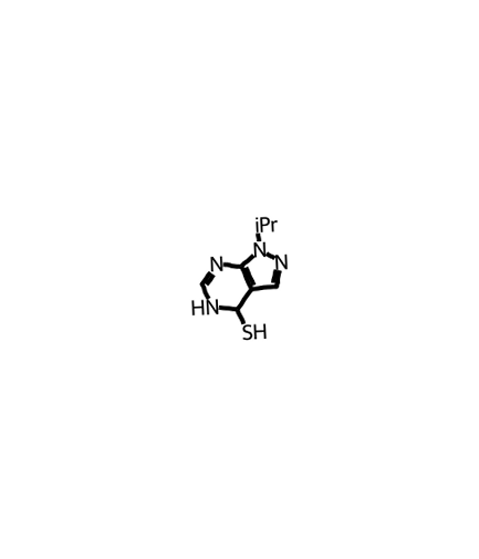 CC(C)n1ncc2c1N=CNC2S